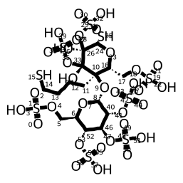 O=S(=O)(O)OC[C@H]1O[C@H](O[C@]2(CCCCS)[C@@H](COS(=O)(=O)O)O[C@@H](S)[C@](O)(OS(=O)(=O)O)[C@@]2(O)OS(=O)(=O)O)[C@H](OS(=O)(=O)O)[C@@H](OS(=O)(=O)O)[C@@H]1OS(=O)(=O)O